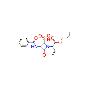 C=C(C)C(C(=O)OCCI)N1C(=O)C(NC(=O)c2ccccc2)C1S(=O)O